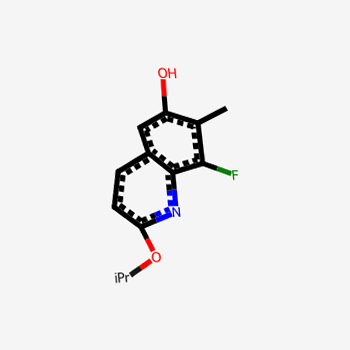 Cc1c(O)cc2ccc(OC(C)C)nc2c1F